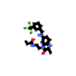 [CH2][CH]C(=O)NCCn1c(=O)c(C)nc2ccc(NCc3cccc(C(F)(F)F)c3)cc21